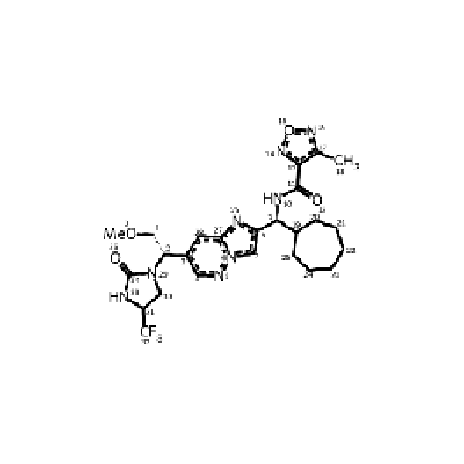 COC[C@H](c1cnn2cc([C@@H](NC(=O)c3nonc3C)C3CCCCCC3)nc2c1)N1CC(C(F)(F)F)NC1=O